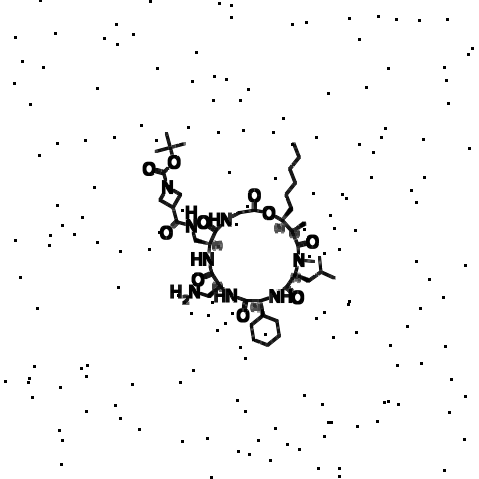 CCCCCC[C@@H]1OC(=O)CNC(=O)[C@H](CNC(=O)C2CN(C(=O)OC(C)(C)C)C2)NC(=O)[C@H](CN)NC(=O)[C@H](C2CCCCC2)NC(=O)[C@H](CC(C)C)N(C)C(=O)[C@@H]1C